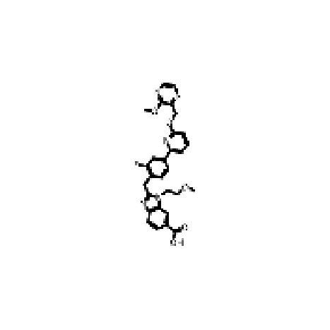 COCCn1c(Cc2ccc(-c3cccc(OCc4nccnc4OC)n3)cc2F)nc2ccc(C(=O)O)cc21